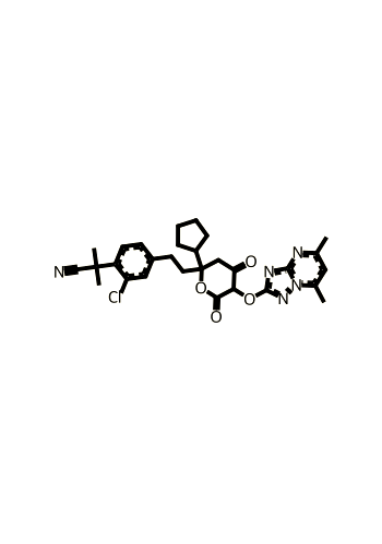 Cc1cc(C)n2nc(OC3C(=O)CC(CCc4ccc(C(C)(C)C#N)c(Cl)c4)(C4CCCC4)OC3=O)nc2n1